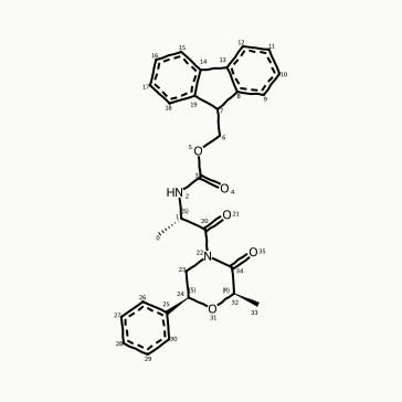 C[C@H](NC(=O)OCC1c2ccccc2-c2ccccc21)C(=O)N1C[C@H](c2ccccc2)O[C@H](C)C1=O